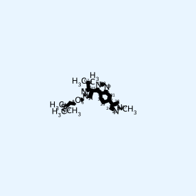 CC(C)c1nn(COCC[Si](C)(C)C)cc1-c1ncnc2cc(-c3cnn(C)c3)ccc12